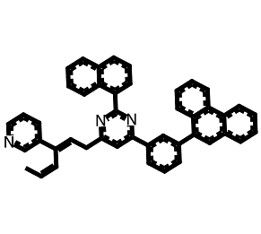 C/C=C\C(=C/Cc1cc(-c2cccc(-c3cc4ccccc4c4ccccc34)c2)nc(-c2cccc3ccccc23)n1)c1cccnc1